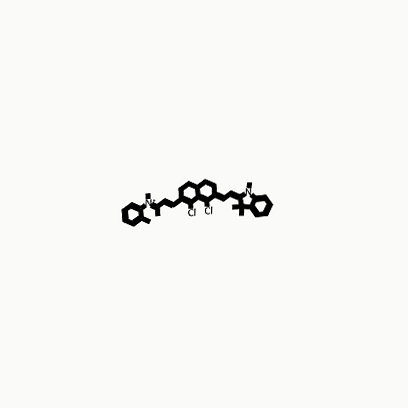 CC(/C=C/C1=C(Cl)C2=C(Cl)/C(=C/C=C3/N(C)c4ccccc4C3(C)C)CCC2CC1)=[N+](/C)c1ccccc1C